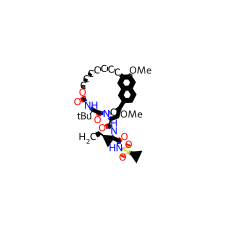 C=C[C@@H]1C[C@]1(NC(=O)[C@@H]1C[C@]2(OC)CN1C(=O)[C@H](C(C)(C)C)NC(=O)OCCCCCCCc1cc3cc2ccc3cc1OC)C(=O)NS(=O)(=O)C1CC1